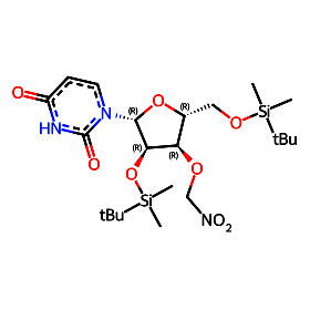 CC(C)(C)[Si](C)(C)OC[C@H]1O[C@@H](n2ccc(=O)[nH]c2=O)[C@H](O[Si](C)(C)C(C)(C)C)[C@@H]1OC[N+](=O)[O-]